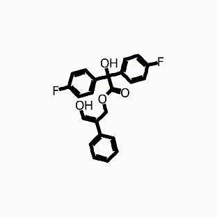 O=C(OCC(=CO)c1ccccc1)C(O)(c1ccc(F)cc1)c1ccc(F)cc1